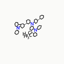 CC1(C)c2ccccc2N(c2ccccc2)c2cc(N(c3ccc(-c4ccccc4)cc3)c3cccc(-c4ccc5c(c4)c4ccccc4n5-c4ccccc4)c3)ccc21